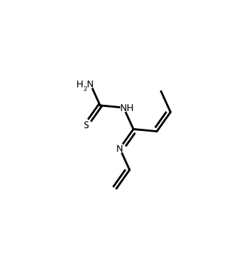 C=C/N=C(\C=C/C)NC(N)=S